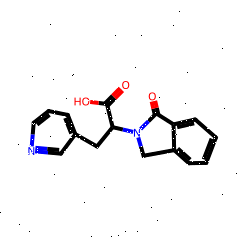 O=C(O)C(Cc1cccnc1)N1Cc2ccccc2C1=O